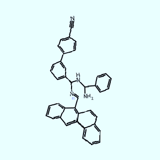 N#Cc1ccc(-c2cccc(C(/N=C/c3c4ccccc4cc4c3ccc3ccccc34)NC(N)c3ccccc3)c2)cc1